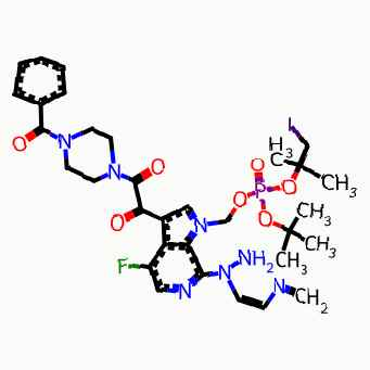 C=N/C=C\N(N)c1ncc(F)c2c(C(=O)C(=O)N3CCN(C(=O)c4ccccc4)CC3)cn(COP(=O)(OC(C)(C)C)OC(C)(C)CI)c12